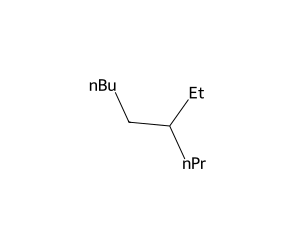 C[CH]CC(CC)CCCCC